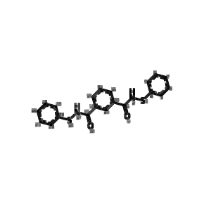 O=C(NSc1ccccc1)c1cccc(C(=O)NSc2ccccc2)c1